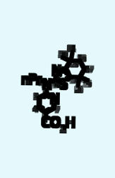 CCCN(c1ccc(C(=O)O)cn1)c1nc2c(s1)C(C)(C)CCC2(C)C